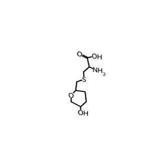 NC(CSCC1CCC(O)CO1)C(=O)O